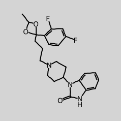 CC1OC(CCCN2CCC(n3c(=O)[nH]c4ccccc43)CC2)(c2ccc(F)cc2F)O1